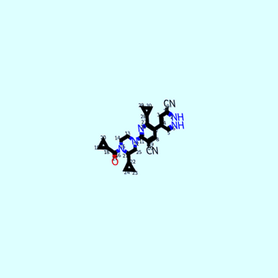 N#CC(=N)/C=C(\C=N)c1cc(C#N)c(N2CCN(C(=O)C3CC3)C(C3CC3)C2)nc1C1CC1